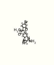 CN(C(=O)c1cc2c(cn1)nc(N)c1cncn12)[C@@H]1COc2cc(Br)ccc21